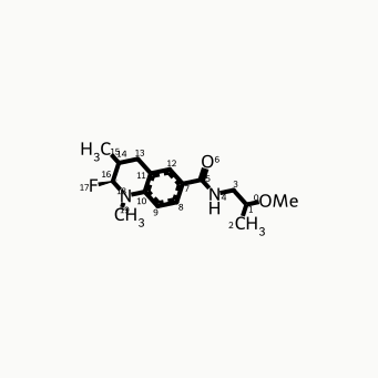 COC(C)CNC(=O)c1ccc2c(c1)CC(C)[C@H](F)N2C